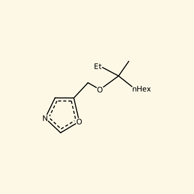 CCCCCCC(C)(CC)OCc1cnco1